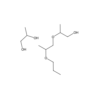 CC(O)CO.CCCOC(C)COC(C)CO